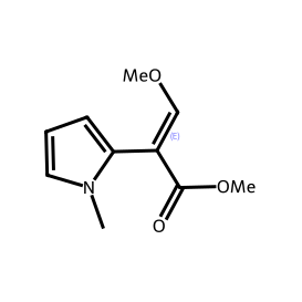 CO/C=C(/C(=O)OC)c1cccn1C